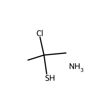 CC(C)(S)Cl.N